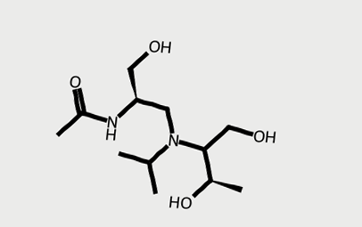 CC(=O)N[C@@H](CO)CN(C(C)C)C(CO)[C@@H](C)O